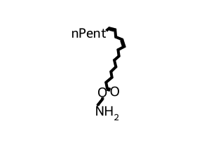 CCCCC/C=C\C/C=C\CCCCCCCC(=O)OCCN